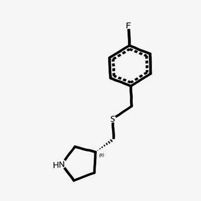 Fc1ccc(CSC[C@@H]2CCNC2)cc1